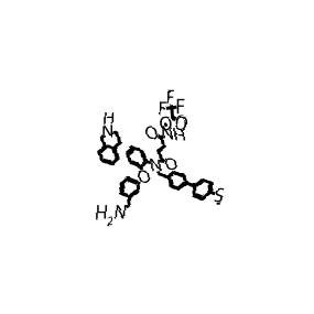 CSc1ccc(-c2ccc(CN(C(=O)CCC(=O)NOC(=O)C(F)(F)F)c3ccccc3Oc3cccc(CN)c3)cc2)cc1.c1ccc2c(c1)CCNC2